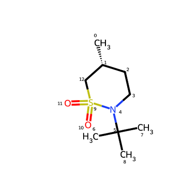 C[C@@H]1CCN(C(C)(C)C)S(=O)(=O)C1